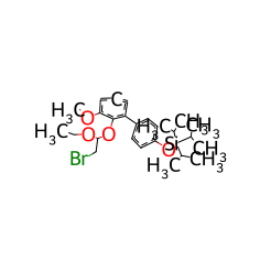 CCOC(CBr)Oc1c(OC)cccc1-c1ccc(O[Si](C(C)C)(C(C)C)C(C)C)cc1